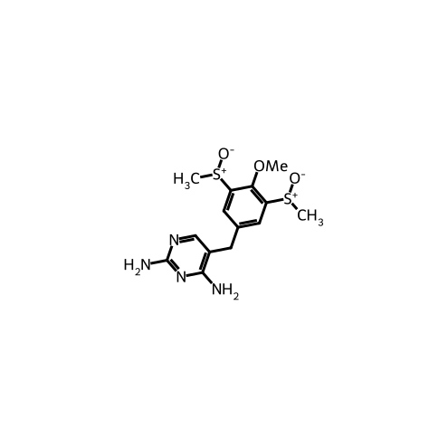 COc1c([S+](C)[O-])cc(Cc2cnc(N)nc2N)cc1[S+](C)[O-]